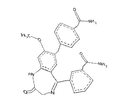 COc1cc2c(cc1-c1ccc(C(N)=O)cc1)C(c1cccc(C(N)=O)c1)=NCC(=O)N2